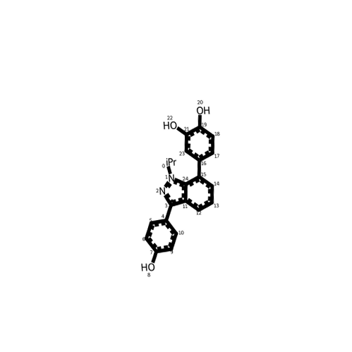 CC(C)n1nc(-c2ccc(O)cc2)c2cccc(-c3ccc(O)c(O)c3)c21